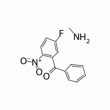 CN.O=C(c1ccccc1)c1cc(F)ccc1[N+](=O)[O-]